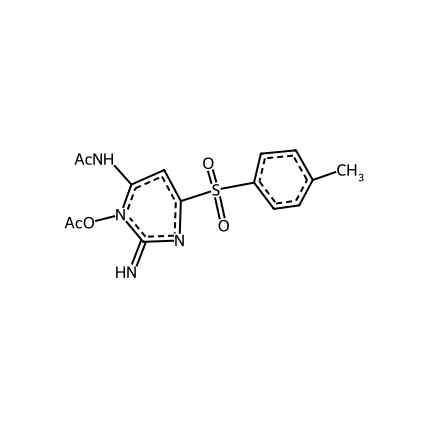 CC(=O)Nc1cc(S(=O)(=O)c2ccc(C)cc2)nc(=N)n1OC(C)=O